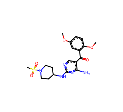 COc1ccc(OC)c(C(=O)c2cnc(NC3CCN(S(C)(=O)=O)CC3)nc2N)c1